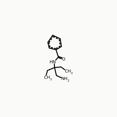 CCC(CC)(CN)NC(=O)c1ccccc1